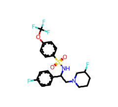 O=S(=O)(NC(CN1CCCC(F)C1)c1ccc(F)cc1)c1ccc(OC(F)(F)F)cc1